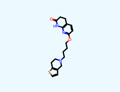 O=C1CCc2ccc(OCCCCN3CCc4sccc4C3)nc2N1